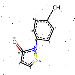 Cc1ccc(-n2sccc2=O)cc1